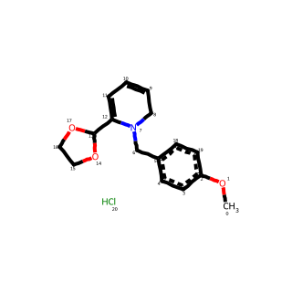 COc1ccc(CN2CC=CC=C2C2OCCO2)cc1.Cl